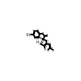 C=C(Cc1ccc(CC)cc1)C(N)(CCC)CC(C=C(C)C)=C(C)C